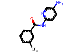 Nc1ccc(NC(=O)c2cccc(C(F)(F)F)c2)nc1